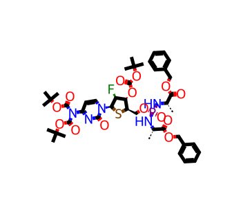 C[C@H](NP(=O)(N[C@@H](C)C(=O)OCc1ccccc1)OC[C@H]1S[C@@H](n2ccc(N(C(=O)OC(C)(C)C)C(=O)OC(C)(C)C)nc2=O)[C@@H](F)[C@@H]1OC(=O)OC(C)(C)C)C(=O)OCc1ccccc1